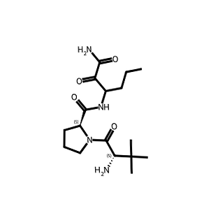 CCCC(NC(=O)[C@@H]1CCCN1C(=O)[C@@H](N)C(C)(C)C)C(=O)C(N)=O